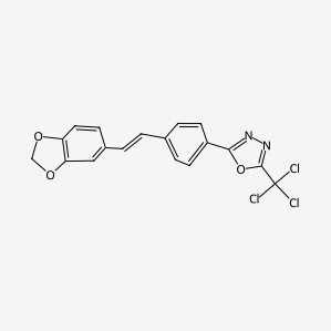 ClC(Cl)(Cl)c1nnc(-c2ccc(/C=C/c3ccc4c(c3)OCO4)cc2)o1